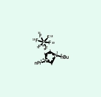 CCCCn1cc[n+](CCC)c1.F[P-](F)(F)(F)(F)F